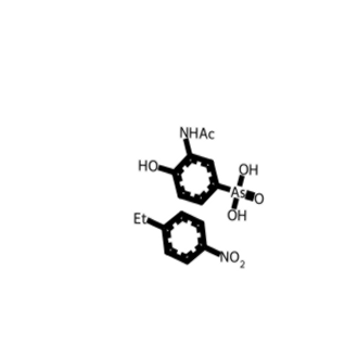 CC(=O)Nc1cc([As](=O)(O)O)ccc1O.CCc1ccc([N+](=O)[O-])cc1